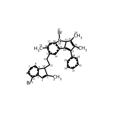 CC1=Cc2c(Br)cccc2C1CCc1cc2c(cc1C)N(Br)C1C(C)=C(C)C(c3ccccc3)=C21